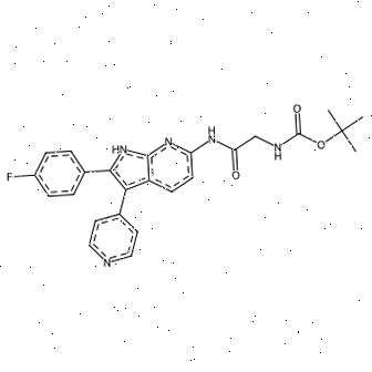 CC(C)(C)OC(=O)NCC(=O)Nc1ccc2c(-c3ccncc3)c(-c3ccc(F)cc3)[nH]c2n1